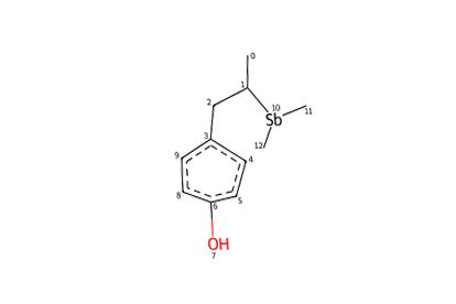 C[CH](Cc1ccc(O)cc1)[Sb]([CH3])[CH3]